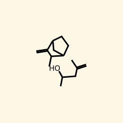 C=C(C)CC(C)O.C=C1C2CCC(C2)C1C